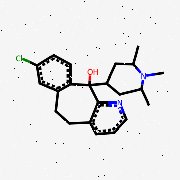 CC1CC(C2(O)c3ccc(Cl)cc3CCc3cccnc32)CC(C)N1C